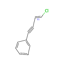 Cl/C=C/C#Cc1ccccc1